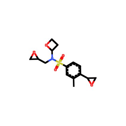 Cc1cc(S(=O)(=O)N(CC2CO2)C2CCO2)ccc1C1CO1